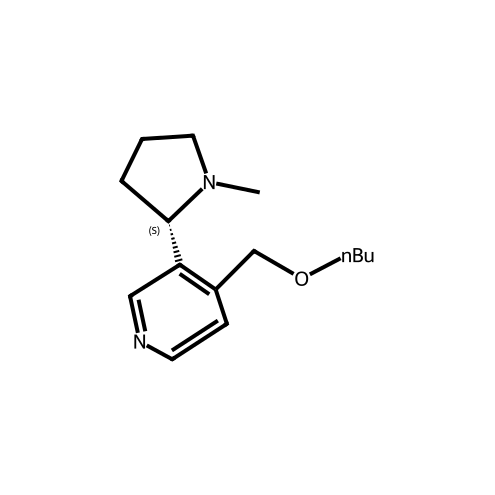 CCCCOCc1ccncc1[C@@H]1CCCN1C